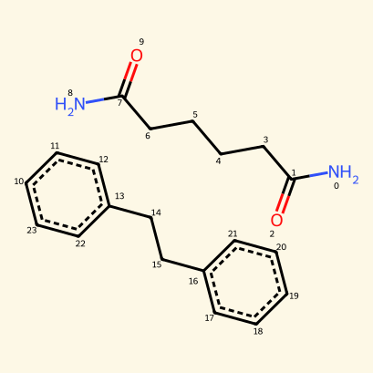 NC(=O)CCCCC(N)=O.c1ccc(CCc2ccccc2)cc1